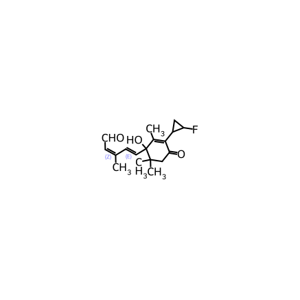 CC1=C(C2CC2F)C(=O)CC(C)(C)C1(O)/C=C/C(C)=C\C=O